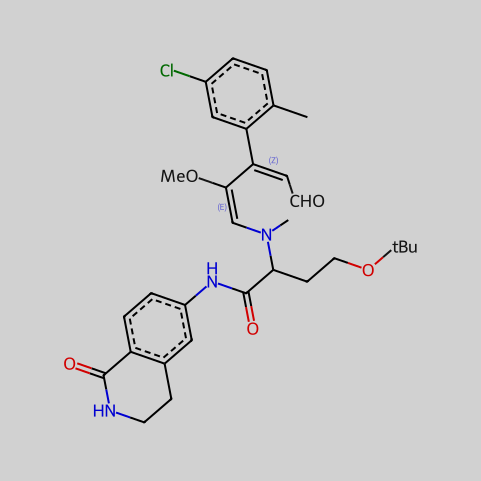 COC(=C/N(C)C(CCOC(C)(C)C)C(=O)Nc1ccc2c(c1)CCNC2=O)/C(=C\C=O)c1cc(Cl)ccc1C